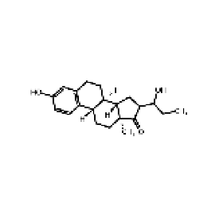 CCC(O)C1C[C@H]2[C@@H]3CCc4cc(O)ccc4[C@H]3CC[C@]2(C)C1=O